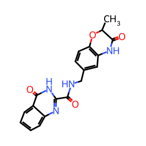 CC1Oc2ccc(CNC(=O)c3nc4ccccc4c(=O)[nH]3)cc2NC1=O